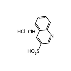 Cl.Cl.O=S(=O)(O)c1cnc2ccccc2c1